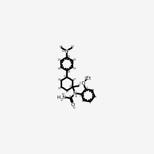 CCOc1ccccc1N(C(N)=O)C1(C)CCCC(c2ccc(N(C)C)cc2)C1